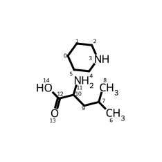 C1CCNCC1.CC(C)CC(N)C(=O)O